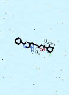 Cc1ccc(F)cc1C(C)(C)CC(C)(O)Cc1cc2cc(-c3ccccc3)ncc2[nH]1